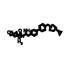 N[C@@H](Cc1ccc(-c2ccc(CN3CCN(C4CC4)CC3)cc2)cc1)NC(=O)C1(N)CC2(COC2)C1